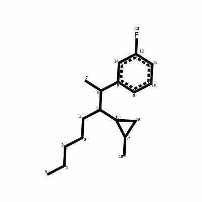 CCCCCC(C(C)c1cccc(F)c1)C1CC1C